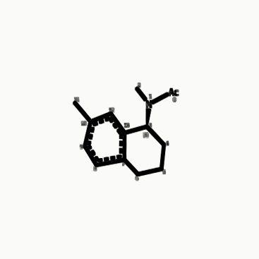 CC(=O)N(C)[C@H]1CCCc2ccc(C)cc21